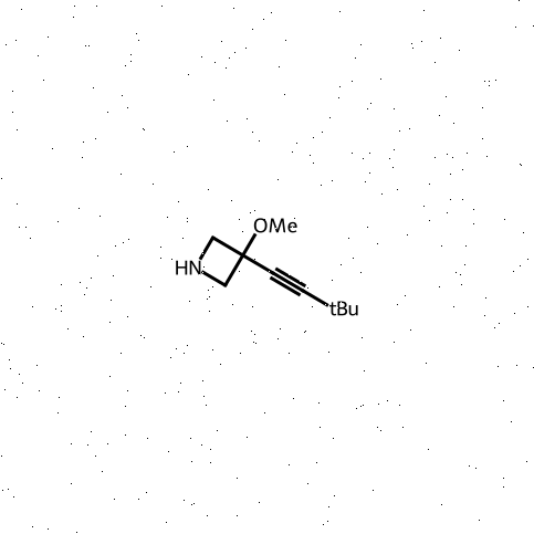 COC1(C#CC(C)(C)C)CNC1